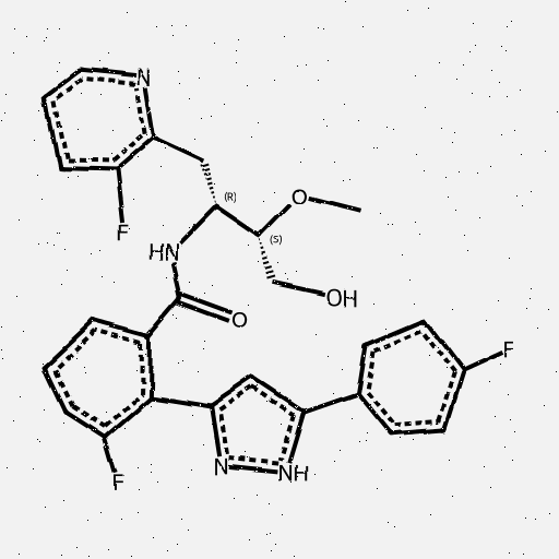 CO[C@H](CO)[C@@H](Cc1ncccc1F)NC(=O)c1cccc(F)c1-c1cc(-c2ccc(F)cc2)[nH]n1